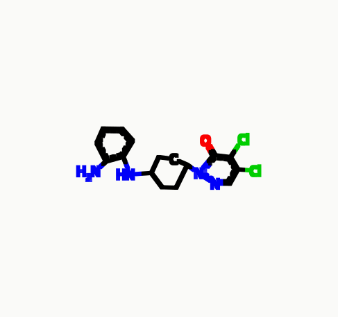 Nc1ccccc1NC1CCC(n2ncc(Cl)c(Cl)c2=O)CC1